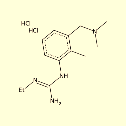 CCN=C(N)Nc1cccc(CN(C)C)c1C.Cl.Cl